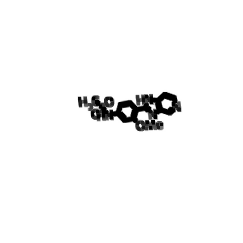 COc1cc(NS(C)(=O)=O)ccc1-c1nc2cnccc2[nH]1